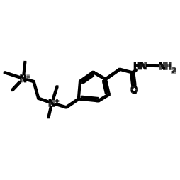 C[N+](C)(C)CC[N+](C)(C)Cc1ccc(CC(=O)NN)cc1